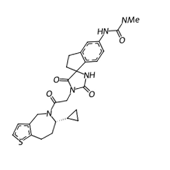 CNC(=O)Nc1ccc2c(c1)CCC21NC(=O)N(CC(=O)N2Cc3ccsc3CC[C@H]2C2CC2)C1=O